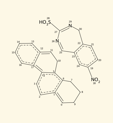 C1=c2ccc3c(c2CCC1)CC=c1ccccc1=3.O=[N+]([O-])c1ccc2c(c1)C=NC(S(=O)(=O)O)=NC2